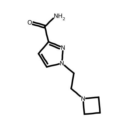 NC(=O)c1ccn(CCN2CCC2)n1